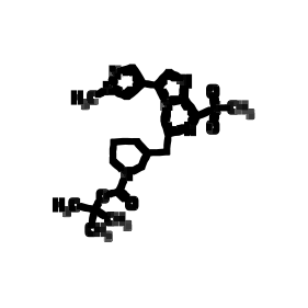 Cn1cc(-c2cnc3c(S(C)(=O)=O)nc(CC4CCCN(C(=O)OC(C)(C)C)C4)cn23)cn1